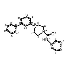 O=C(Nc1cccnc1)N1CCN(c2cccc(-c3ccccc3)c2)CC1